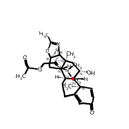 CC(=O)OC/C(=N/N(C)C)[C@@]12N=C(C)O[C@@H]1C[C@H]1[C@@H]3CCC4=CC(=O)C=C[C@]4(C)[C@H]3[C@@H](O)C[C@@]12C